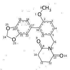 COc1ccc(CN2C(=O)CCCC2=O)cc1-c1ccc2c(c1)OCO2